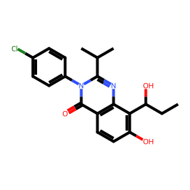 CCC(O)c1c(O)ccc2c(=O)n(-c3ccc(Cl)cc3)c(C(C)C)nc12